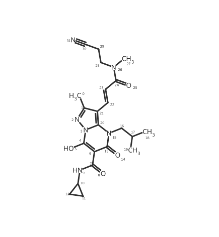 Cc1nn2c(O)c(C(=O)NC3CC3)c(=O)n(CC(C)C)c2c1/C=C/C(=O)N(C)CCC#N